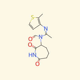 C/C(=N/c1ccsc1C)N(C=O)C1CCCC(=O)NC1=O